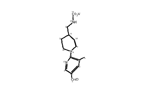 Cc1cc(C=O)cnc1N1CCC(CNC(=O)O)CC1